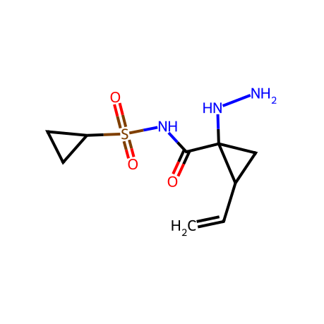 C=CC1CC1(NN)C(=O)NS(=O)(=O)C1CC1